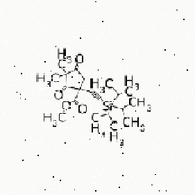 COC(=O)C1(C#C[Si](C(C)C)(C(C)C)C(C)C)CC(=O)C(C)(C)C1=O